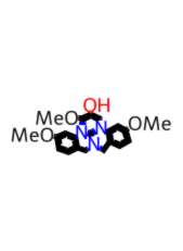 COc1ccc(CN(Cc2ccc(OC)cc2)c2ncc(O)c(OC)n2)cc1